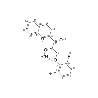 COC(COc1c(F)cccc1F)C(=O)c1ccc2ccccc2n1